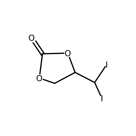 O=C1OCC(C(I)I)O1